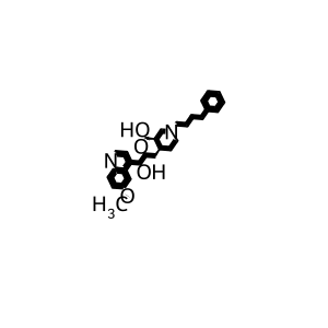 COc1ccc2nccc([C@@H](O)CC[C@@H]3CCN(CCCCc4ccccc4)C[C@@H]3C(=O)O)c2c1